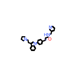 O=C(/C=C/c1ccc(-n2cc(CCN3CCCC3)c3ccccc32)cc1)NCc1cccnc1